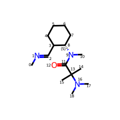 CN=CC1CCCC[C@@H]1N(C)C(=O)C(C)(C)N(C)C